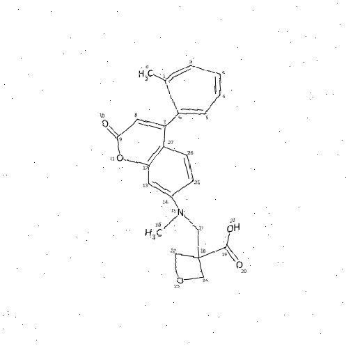 Cc1ccccc1-c1cc(=O)oc2cc(N(C)CC3(C(=O)O)COC3)ccc12